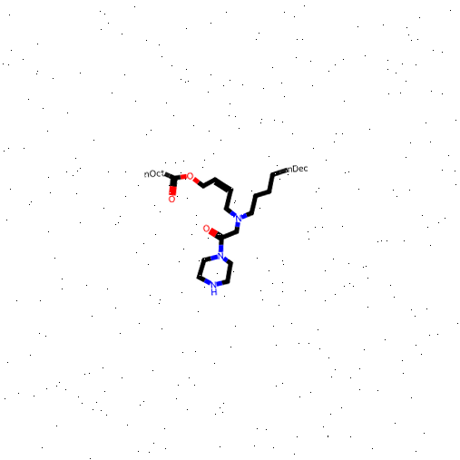 CCCCCCCCCCCCCCN(C/C=C\COC(=O)CCCCCCCC)CC(=O)N1CCNCC1